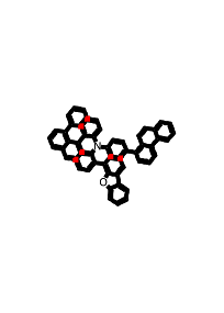 c1ccc(-c2cccc3cccc(-c4ccccc4N(c4ccc(-c5cccc6c5ccc5ccccc56)cc4)c4ccccc4-c4cccc5c4oc4ccccc45)c23)cc1